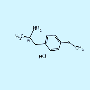 CSc1ccc(C[C@@H](C)N)cc1.Cl